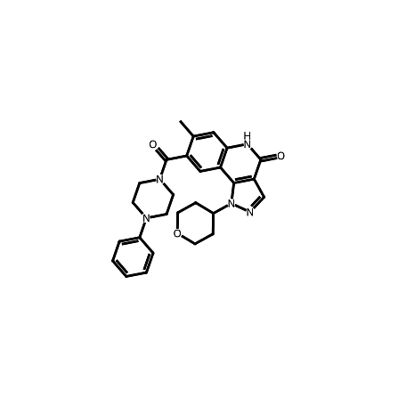 Cc1cc2[nH]c(=O)c3cnn(C4CCOCC4)c3c2cc1C(=O)N1CCN(c2ccccc2)CC1